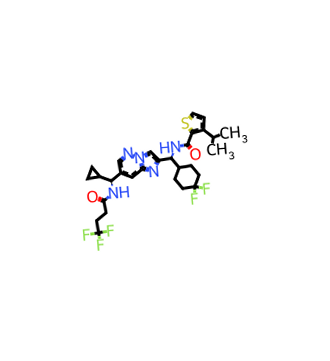 CC(C)c1ccsc1C(=O)N[C@H](c1cn2ncc([C@H](NC(=O)CCC(F)(F)F)C3CC3)cc2n1)C1CCC(F)(F)CC1